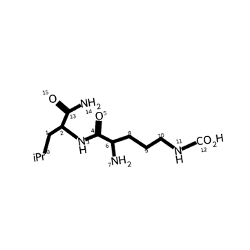 CC(C)CC(NC(=O)C(N)CCCNC(=O)O)C(N)=O